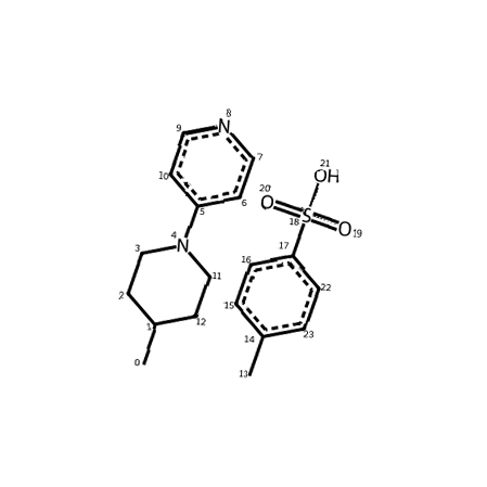 CC1CCN(c2ccncc2)CC1.Cc1ccc(S(=O)(=O)O)cc1